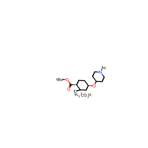 CC(=O)N1CCC(O[C@@H]2CC[C@H](C(=O)OC(C)(C)C)[C@@](C)(C(=O)O)C2)CC1